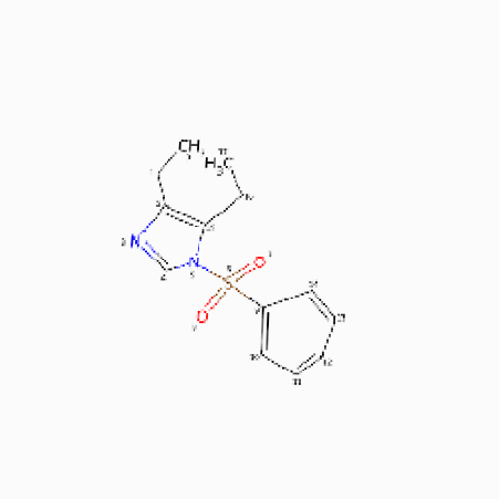 CCc1ncn(S(=O)(=O)c2ccccc2)c1CC